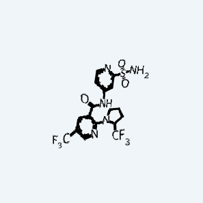 NS(=O)(=O)c1cc(NC(=O)c2cc(C(F)(F)F)cnc2N2CCCC2C(F)(F)F)ccn1